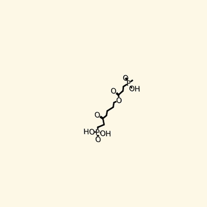 CP(=O)(O)CCC(=O)OCCCCC(=O)CCP(=O)(O)O